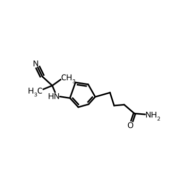 CC(C)(C#N)Nc1ccc(CCCC(N)=O)cc1